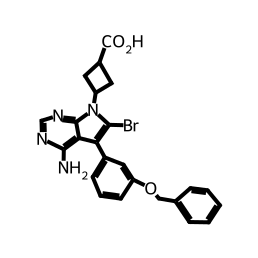 Nc1ncnc2c1c(-c1cccc(OCc3ccccc3)c1)c(Br)n2C1CC(C(=O)O)C1